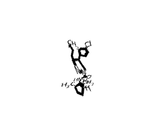 CCCCC1=NN(C(=O)N[C@H]2C[C@H]3CC[C@]2(C)C3(C)C)CC1c1ccc(Cl)cc1